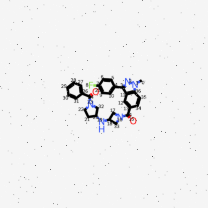 Cn1nc(-c2ccc(F)cc2)c2cc(C(=O)N3CC(N[C@H]4CCN(C(=O)c5ccccc5)C4)C3)ccc21